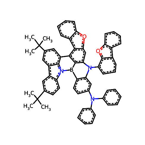 CC(C)(C)c1ccc2c(c1)c1cc(C(C)(C)C)cc3c1n2B1c2ccc(N(c4ccccc4)c4ccccc4)cc2N(c2cccc4c2oc2ccccc24)c2cc4oc5ccccc5c4c-3c21